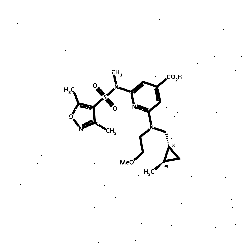 COCCN(C[C@@H]1C[C@H]1C)c1cc(C(=O)O)cc(N(C)S(=O)(=O)c2c(C)noc2C)n1